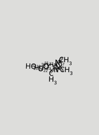 CCC1=NN2C(C)=CC(C)=NC2C1Cc1ccc(OCCO)cc1